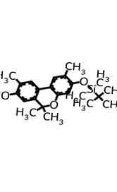 Cc1cc2c(cc1O)C(C)(C)Oc1cc(O[Si](C)(C)C(C)(C)C)c(C)cc1-2